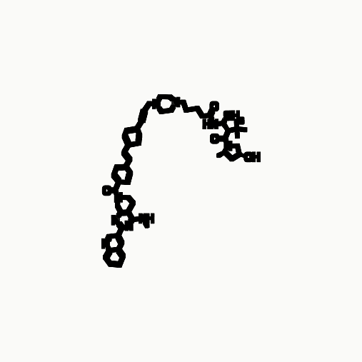 CNc1nc(-c2cnc3ccccc3c2)nc2c1CCN(C(=O)c1ccc(/C=C/c3ccc(C#CCN4CCN(CCCCC(=O)NC([SiH3])[C@H](C(=O)N5C[C@H](O)C[C@H]5C)C(C)(C)C)CC4)cc3)cc1)C2